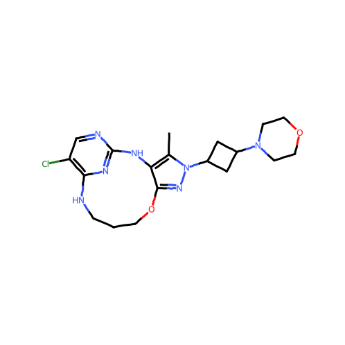 Cc1c2c(nn1C1CC(N3CCOCC3)C1)OCCCNc1nc(ncc1Cl)N2